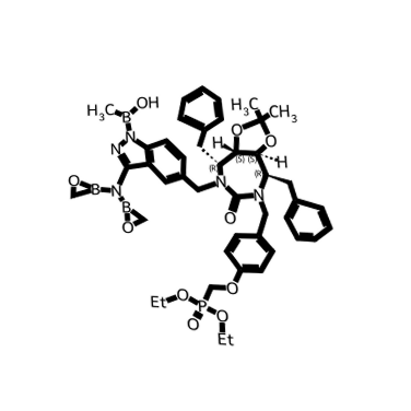 CCOP(=O)(COc1ccc(CN2C(=O)N(Cc3ccc4c(c3)c(N(B3CO3)B3CO3)nn4B(C)O)[C@H](Cc3ccccc3)[C@@H]3OC(C)(C)O[C@H]3[C@H]2Cc2ccccc2)cc1)OCC